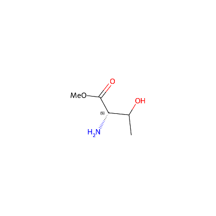 COC(=O)[C@@H](N)C(C)O